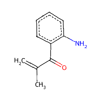 C=C(C)C(=O)c1ccccc1N